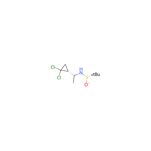 CC(N[S@+]([O-])C(C)(C)C)[C@H]1CC1(Cl)Cl